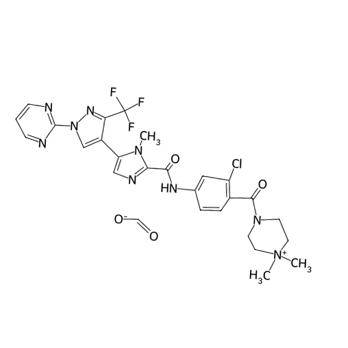 Cn1c(-c2cn(-c3ncccn3)nc2C(F)(F)F)cnc1C(=O)Nc1ccc(C(=O)N2CC[N+](C)(C)CC2)c(Cl)c1.O=C[O-]